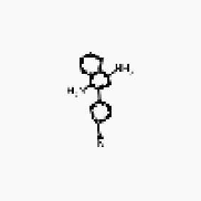 N#Cc1ccc(-c2cc(N)c3ccccc3c2N)cc1